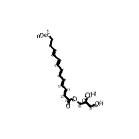 CCCCCCCCCCCCC=CC=CC=CC=CC=CC(=O)OCC(O)CO